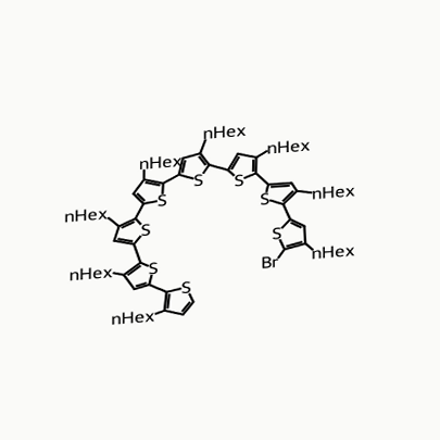 CCCCCCc1cc(-c2sc(-c3sc(-c4sc(-c5sc(-c6sc(-c7sc(-c8sccc8CCCCCC)cc7CCCCCC)cc6CCCCCC)cc5CCCCCC)cc4CCCCCC)cc3CCCCCC)cc2CCCCCC)sc1Br